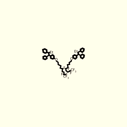 CC/C(=C(/c1ccccc1)c1ccc(OCCCCCC(CCC(F)(F)C(F)(F)F)SC(CCCCCOc2ccc(/C(=C(\CC)c3ccccc3)c3ccccc3)cc2)CCC(F)(F)C(F)(F)F)cc1)c1ccccc1